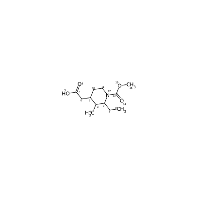 CCC1C(C)C(CC(=O)O)CCN1C(=O)OC